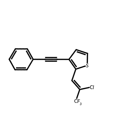 FC(F)(F)C(Cl)=Cc1sccc1C#Cc1ccccc1